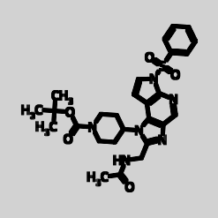 CC(=O)NCc1nc2cnc3c(ccn3S(=O)(=O)c3ccccc3)c2n1C1CCN(C(=O)OC(C)(C)C)CC1